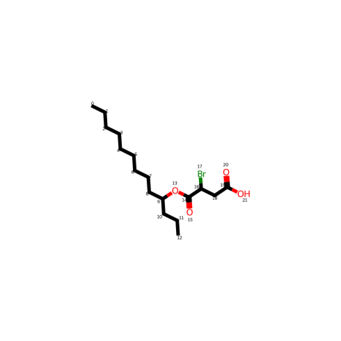 CCCCCCCCCC(CCC)OC(=O)C(Br)CC(=O)O